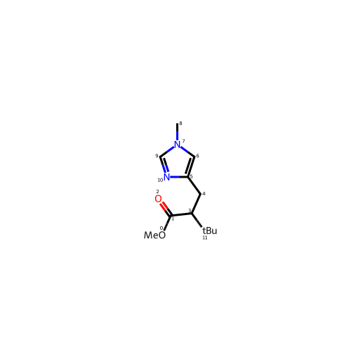 COC(=O)C(Cc1cn(C)cn1)C(C)(C)C